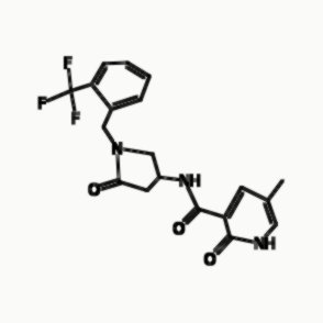 Cc1c[nH]c(=O)c(C(=O)NC2CC(=O)N(Cc3ccccc3C(F)(F)F)C2)c1